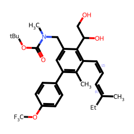 CC/C(C)=C/C=C\c1c(C)c(-c2ccc(OC(F)(F)F)cc2)cc(CN(C)C(=O)OC(C)(C)C)c1C(O)CO